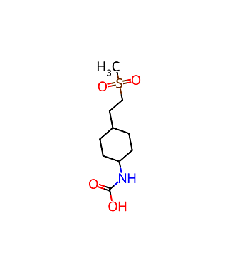 CS(=O)(=O)CCC1CCC(NC(=O)O)CC1